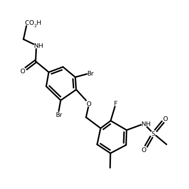 Cc1cc(COc2c(Br)cc(C(=O)NCC(=O)O)cc2Br)c(F)c(NS(C)(=O)=O)c1